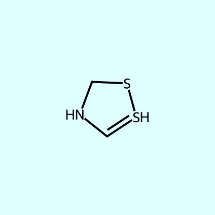 C1=[SH]SCN1